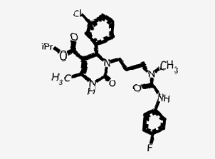 CC1=C(C(=O)OC(C)C)C(c2cccc(Cl)c2)N(CCCN(C)C(=O)Nc2ccc(F)cc2)C(=O)N1